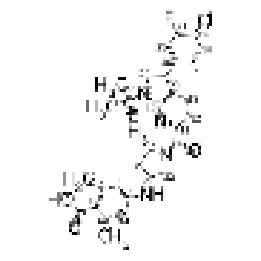 Cc1cc(N[C@@H]2CCN(C(=O)c3ccc4c(-c5ccc(Cl)c(F)c5)cn(C(C)(C)C)c4n3)C2)nc(C)c1C(=O)O